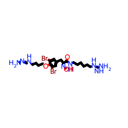 N=C(N)NCCCCCCNC(=O)C(Cc1cc(Br)c(OCCCCNC=NN)c(Br)c1)=NO